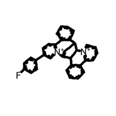 Fc1ccc(-c2ccc3[n+](c2)C2=CC(c4ccccc4-3)C3C2c2ccccc2-c2cccc[n+]23)cc1